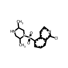 CC1CN(S(=O)(=O)c2cccc3c(Cl)nccc23)C(C)CN1